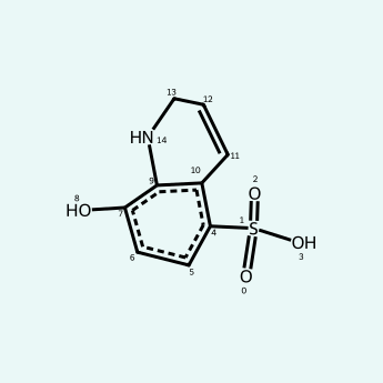 O=S(=O)(O)c1ccc(O)c2c1C=CCN2